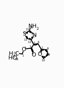 CCOC(=O)/C(=C\c1ccco1)c1csc(N)n1.Cl